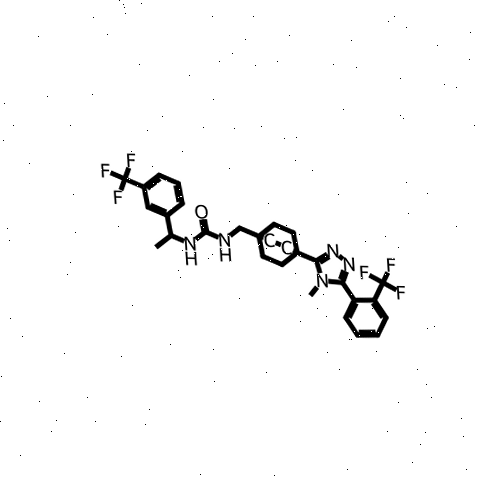 CC(NC(=O)NCC12CCC(c3nnc(-c4ccccc4C(F)(F)F)n3C)(CC1)CC2)c1cccc(C(F)(F)F)c1